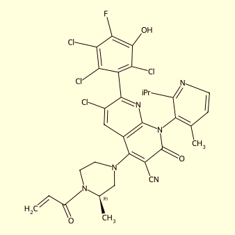 C=CC(=O)N1CCN(c2c(C#N)c(=O)n(-c3c(C)ccnc3C(C)C)c3nc(-c4c(Cl)c(O)c(F)c(Cl)c4Cl)c(Cl)cc23)C[C@H]1C